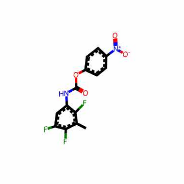 Cc1c(F)c(F)cc(NC(=O)Oc2ccc([N+](=O)[O-])cc2)c1F